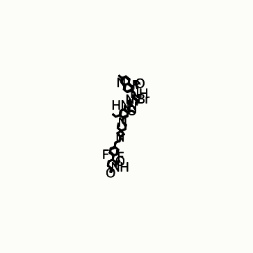 CCc1cc(Nc2ncc(Br)c(Nc3ccc4nc(C)ccc4c3P(C)(C)=O)n2)c(OC)cc1N1CCC2(CC1)CN(CCc1cc(F)c(C3CCC(=O)NC3=O)c(F)c1)C2